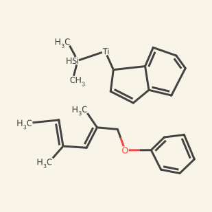 CC=C(C)C=C(C)COc1ccccc1.C[SiH](C)[Ti][CH]1C=Cc2ccccc21